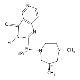 CCC[C@H](c1nc2ccncc2c(=O)n1CC)N1CCN(C)C[C@@H](C)C1